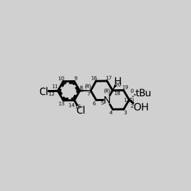 CC(C)(C)[C@]1(O)CCN2C[C@@H](c3ccc(Cl)cc3Cl)CC[C@@H]2C1